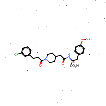 CCCCOc1ccc(C[C@H](NC(=O)CC2CCN(C(=O)CCc3cccc(Cl)c3)CC2)C(=O)O)cc1